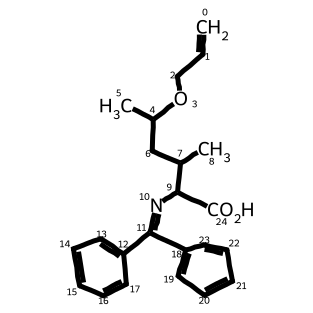 C=CCOC(C)CC(C)C(N=C(c1ccccc1)c1ccccc1)C(=O)O